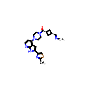 CN=C[C@H]1C[C@H](C(=O)N2CCN(c3ccnc4[nH]c(-c5csc(C)n5)cc34)CC2)C1